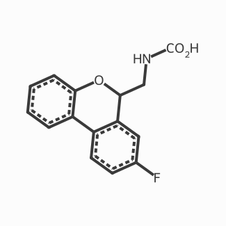 O=C(O)NCC1Oc2ccccc2-c2ccc(F)cc21